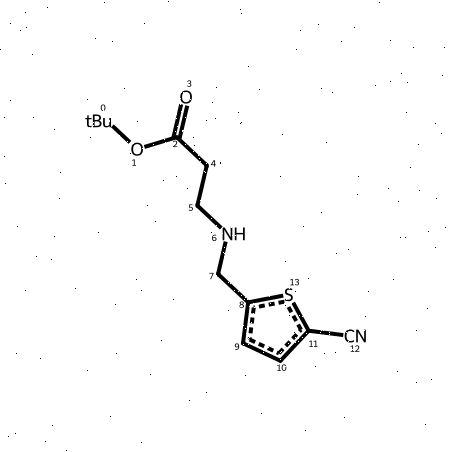 CC(C)(C)OC(=O)CCNCc1ccc(C#N)s1